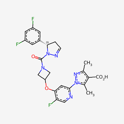 Cc1nn(-c2cc(OC3CN(C(=O)N4N=CC[C@H]4c4cc(F)cc(F)c4)C3)c(F)cn2)c(C)c1C(=O)O